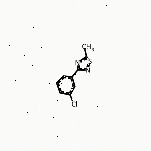 Cc1nc(-c2cccc(Cl)c2)ns1